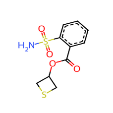 NS(=O)(=O)c1ccccc1C(=O)OC1CSC1